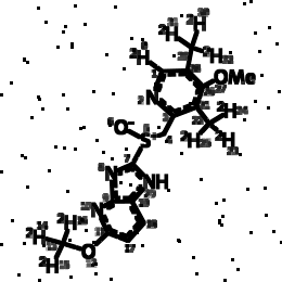 [2H]c1nc(C[S+]([O-])c2nc3nc(OC([2H])([2H])[2H])ccc3[nH]2)c(C([2H])([2H])[2H])c(OC)c1C([2H])([2H])[2H]